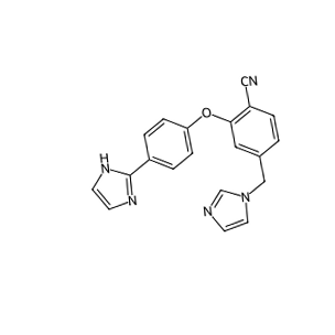 N#Cc1ccc(Cn2ccnc2)cc1Oc1ccc(-c2ncc[nH]2)cc1